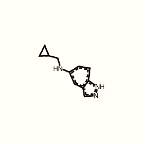 c1cc2[nH]ncc2cc1NCC1CC1